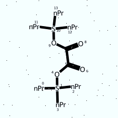 CCCS(CCC)(CCC)OC(=O)C(=O)OS(CCC)(CCC)CCC